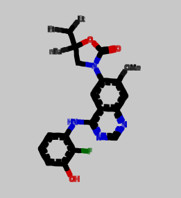 CCCCC1(C(CC)CC)CN(c2cc3c(Nc4cccc(O)c4F)ncnc3cc2OC)C(=O)O1